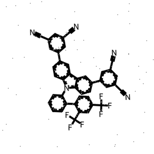 N#Cc1cc(C#N)cc(-c2ccc3c(c2)c2cc(-c4cc(C#N)cc(C#N)c4)ccc2n3-c2ccccc2-c2ccc(C(F)(F)F)cc2C(F)(F)F)c1